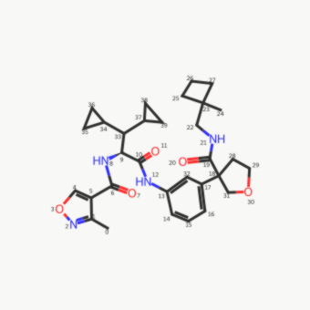 Cc1nocc1C(=O)N[C@H](C(=O)Nc1cccc(C2(C(=O)NCC3(C)CCC3)CCOC2)c1)C(C1CC1)C1CC1